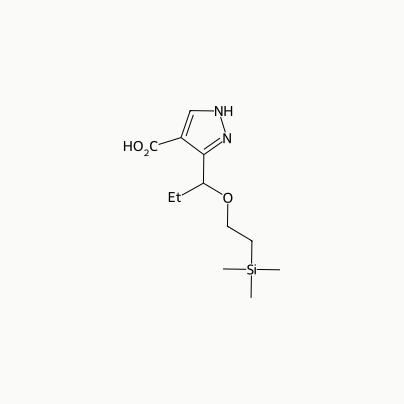 CCC(OCC[Si](C)(C)C)c1n[nH]cc1C(=O)O